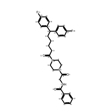 O=C(NCC(=O)N1CCN(C(=O)CCCCC(c2ccc(F)cc2)c2ccc(F)cc2)CC1)c1ccccc1